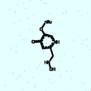 CCCCOc1c[nH]c(CNO)cc1=O